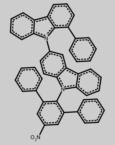 O=[N+]([O-])c1cc(-c2ccccc2)c(-n2c3ccccc3c3cc(-n4c5ccccc5c5cccc(-c6ccccc6)c54)ccc32)c(-c2ccccc2)c1